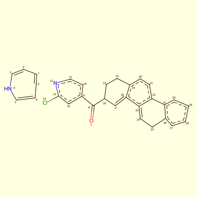 C1=CC=CNC=C1.O=C(c1ccnc(Cl)c1)C1C=c2c(ccc3c2=CCc2ccccc2-3)CC1